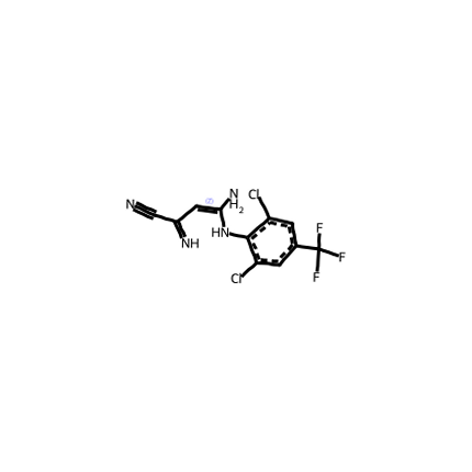 N#CC(=N)/C=C(/N)Nc1c(Cl)cc(C(F)(F)F)cc1Cl